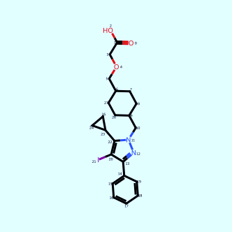 O=C(O)COCC1CCC(Cn2nc(-c3ccccc3)c(I)c2C2CC2)CC1